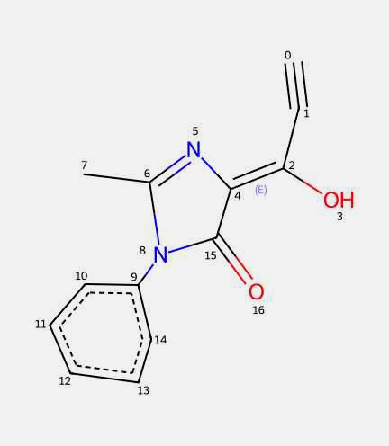 C#C/C(O)=C1\N=C(C)N(c2ccccc2)C1=O